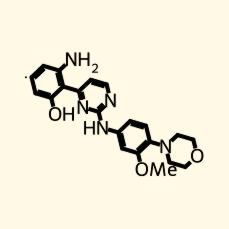 COc1cc(Nc2nccc(-c3c(N)c[c]cc3O)n2)ccc1N1CCOCC1